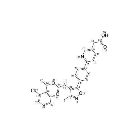 Cc1noc(-c2ccc(-c3ccc(CC(=O)O)cn3)cc2)c1NC(=O)OC(C)c1ccccc1Cl